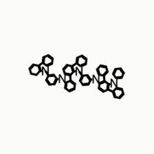 C1=Cc2c(n(-c3cccc(-n4c5ccccc5c5c4ccc4c6ccccc6n(-c6cccc(-n7c8ccccc8c8c7ccc7c9ccccc9n(-c9ccccc9)c78)c6)c45)c3)c3ccccc23)CC1